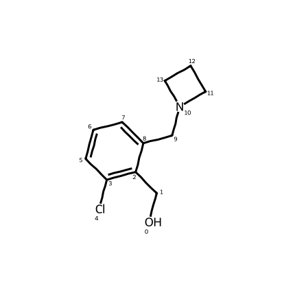 OCc1c(Cl)cccc1CN1CCC1